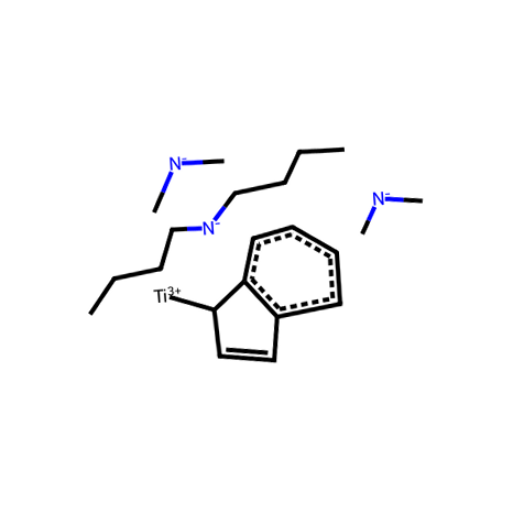 CCCC[N-]CCCC.C[N-]C.C[N-]C.[Ti+3][CH]1C=Cc2ccccc21